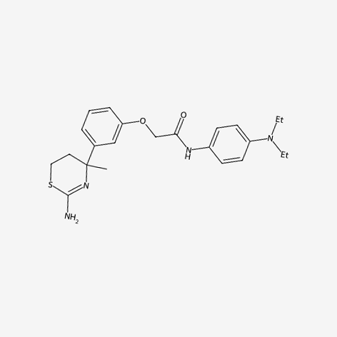 CCN(CC)c1ccc(NC(=O)COc2cccc(C3(C)CCSC(N)=N3)c2)cc1